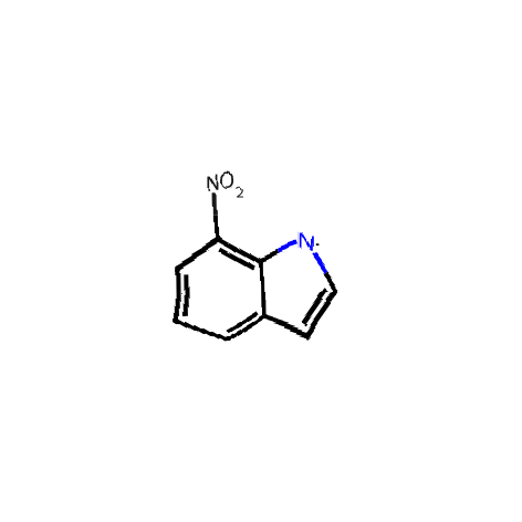 O=[N+]([O-])c1cccc2c1[N]C=C2